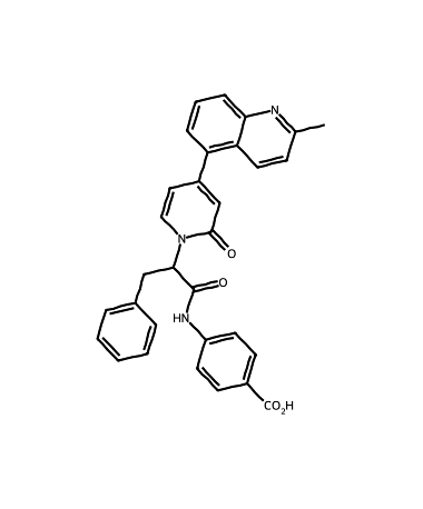 Cc1ccc2c(-c3ccn(C(Cc4ccccc4)C(=O)Nc4ccc(C(=O)O)cc4)c(=O)c3)cccc2n1